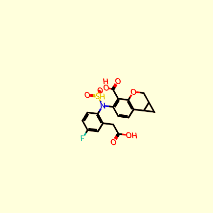 O=C(O)Cc1cc(F)ccc1N(c1ccc2c(c1C(=O)O)OCC1CC21)[SH](=O)=O